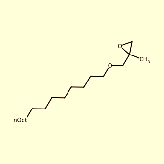 CCCCCCCCCCCCCCCCOCC1(C)CO1